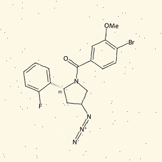 COc1cc(C(=O)N2CC(N=[N+]=[N-])C[C@@H]2c2ccccc2F)ccc1Br